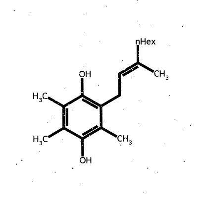 CCCCCC/C(C)=C/Cc1c(C)c(O)c(C)c(C)c1O